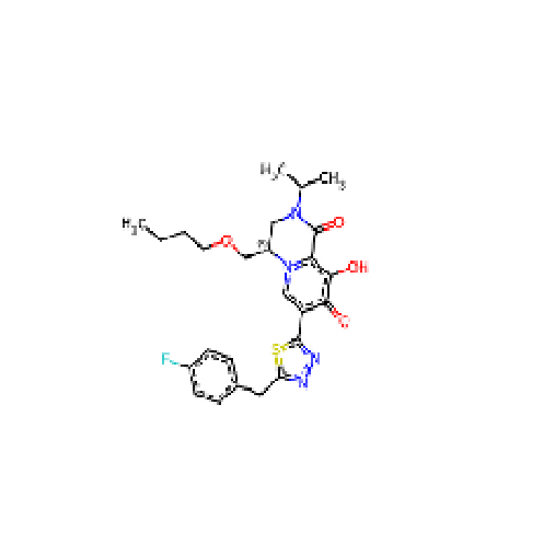 CCCCOC[C@H]1CN(C(C)C)C(=O)c2c(O)c(=O)c(-c3nnc(Cc4ccc(F)cc4)s3)cn21